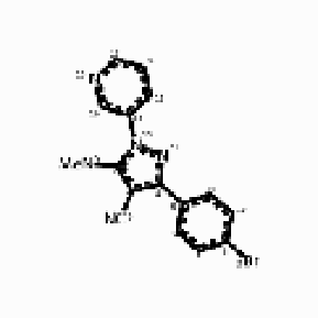 CNc1c(C#N)c(-c2ccc(Br)cc2)nn1-c1cccnc1